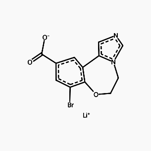 O=C([O-])c1cc(Br)c2c(c1)-c1cncn1CCO2.[Li+]